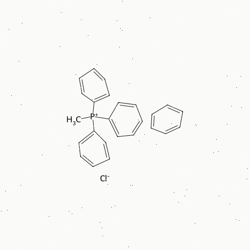 C[P+](c1ccccc1)(c1ccccc1)c1ccccc1.[Cl-].c1ccccc1